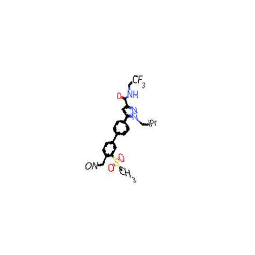 CC(C)Cn1nc(C(=O)NCC(F)(F)F)cc1-c1ccc(-c2ccc(CN=O)c(S(C)(=O)=O)c2)cc1